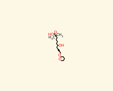 CC(C)(CCCCC(O)CC#CCOC1CCCCO1)C(=O)O